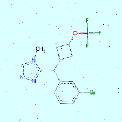 Cn1cnnc1C(c1cccc(Br)c1)C1CC(OC(F)(F)F)C1